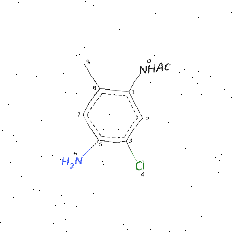 CC(=O)Nc1cc(Cl)c(N)cc1C